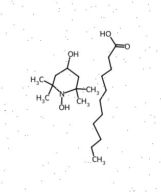 CC1(C)CC(O)CC(C)(C)N1O.CCCCCCCCCCC(=O)O